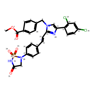 COC(=O)c1ccc(Cn2cc(-c3ccc(Cl)cc3Cl)nc2/C=C/c2ccc(N3CC(=O)NS3(=O)=O)cc2)cc1